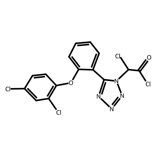 O=C(Cl)C(Cl)n1nnnc1-c1ccccc1Oc1ccc(Cl)cc1Cl